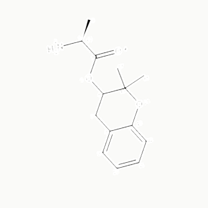 C[C@H](N)C(=O)OC1Cc2ccccc2OC1(C)C